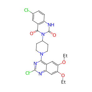 CCOc1cc2nc(Cl)nc(N3CCC(n4c(=O)[nH]c5ccc(Cl)cc5c4=O)CC3)c2cc1OCC